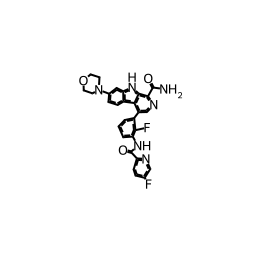 NC(=O)c1ncc(-c2cccc(NC(=O)c3ccc(F)cn3)c2F)c2c1[nH]c1cc(N3CCOCC3)ccc12